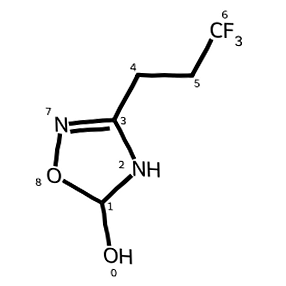 OC1NC(CCC(F)(F)F)=NO1